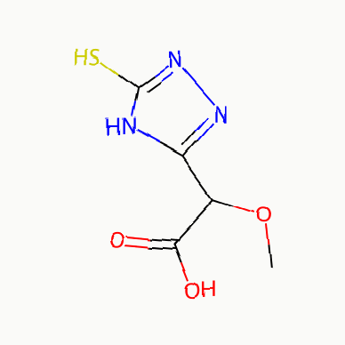 COC(C(=O)O)c1nnc(S)[nH]1